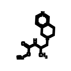 CC(CN1CCc2cnccc2C1)NC(=O)OC(C)(C)C